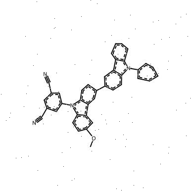 COc1ccc2c(c1)c1cc(-c3ccc4c(c3)c3ccccc3n4-c3ccccc3)ccc1n2-c1cc(C#N)cc(C#N)c1